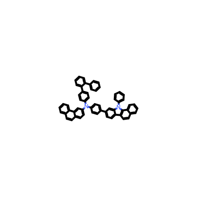 c1ccc(-c2ccccc2-c2ccc(N(c3ccc(-c4ccc5c6ccc7ccccc7c6n(-c6ccccc6)c5c4)cc3)c3ccc4ccc5ccccc5c4c3)cc2)cc1